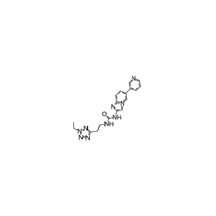 CCn1nnc(CCNC(=O)Nc2cn3cc(-c4cccnc4)ccc3n2)n1